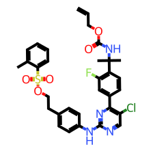 C=CCOC(=O)NC(C)(C)c1ccc(-c2nc(Nc3ccc(CCOS(=O)(=O)c4ccccc4C)cc3)ncc2Cl)cc1F